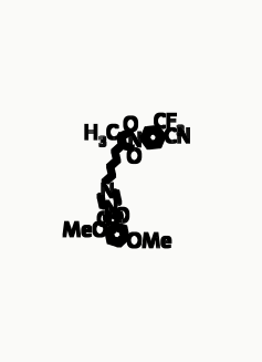 COc1ccc(OC)c(S(=O)(=O)N2CCN(CCCCCC3=C(C)C(=O)N(c4ccc(C#N)c(C(F)(F)F)c4)C3=O)CC2)c1